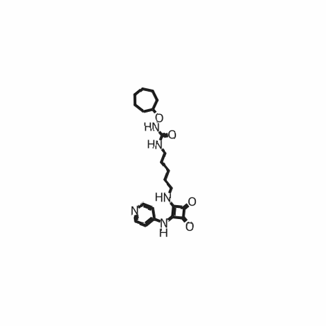 O=C(NCCCCCNc1c(Nc2ccncc2)c(=O)c1=O)NOC1CCCCCC1